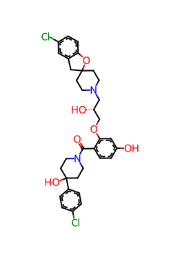 O=C(c1ccc(O)cc1OC[C@H](O)CN1CCC2(CC1)Cc1cc(Cl)ccc1O2)N1CCC(O)(c2ccc(Cl)cc2)CC1